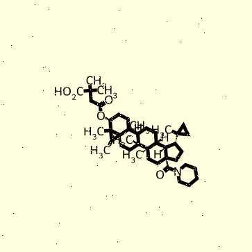 CC1C2(C)[C@@H](OC(=O)CC(C)(C)C(=O)O)CC[C@]3(C)[C@H]4CC[C@@H]5[C@H]6[C@H](C7(C)CC7)CC[C@]6(C(=O)N6CCCCC6)CC[C@@]5(C)[C@]4(C)CC[C@@]123